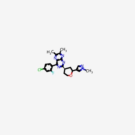 Cc1nc2nc([C@@H]3CCOC(c4cnn(C)c4)C3)nc(-c3ccc(Cl)cc3F)c2nc1C